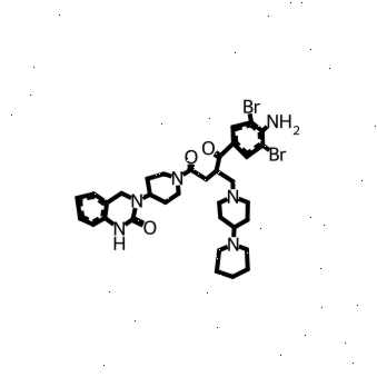 Nc1c(Br)cc(C(=O)C(CC(=O)N2CCC(N3Cc4ccccc4NC3=O)CC2)CN2CCC(N3CCCCC3)CC2)cc1Br